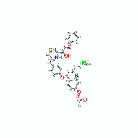 CCc1cc(Oc2ccc(C[C@@H](CO)NC[C@H](O)COc3ccccc3)cc2)c2ccc(OOC(C)=O)cc2n1.Cl.Cl